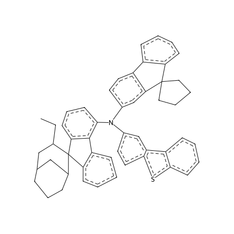 CCC1CC2CCCC(C2)C12c1ccccc1-c1c(N(c3ccc4c(c3)C3(CCCC3)c3ccccc3-4)c3ccc4sc5ccccc5c4c3)cccc12